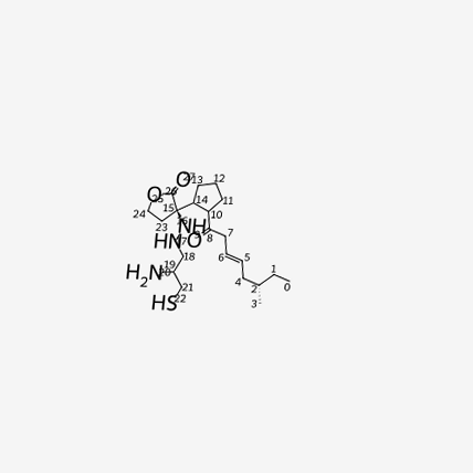 CC[C@H](C)CC=CCC(=O)C1CCCC1[C@]1(NNCC(N)CS)CCOC1=O